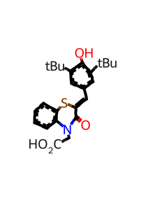 CC(C)(C)c1cc(/C=C2\Sc3ccccc3N(CC(=O)O)C2=O)cc(C(C)(C)C)c1O